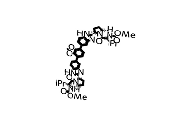 COC(=O)N[C@H](C(=O)N1[C@@H](C)CC[C@H]1c1nc2cc(-c3ccc(-c4ccc5[nH]c([C@@H]6CC[C@H](C)N6C(=O)[C@@H](NC(=O)OC)C(C)C)nc5c4)c4c3OCO4)ccc2[nH]1)C(C)C